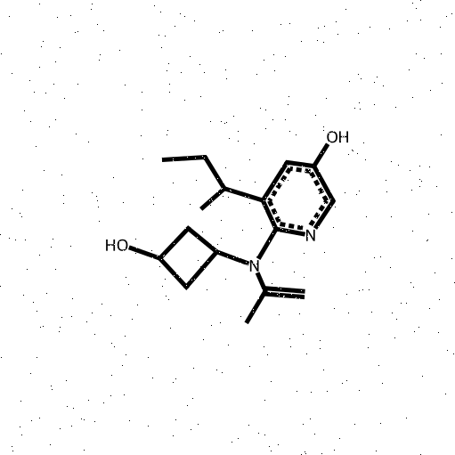 C=C(C)N(c1ncc(O)cc1C(C)CC)C1CC(O)C1